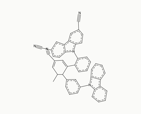 CC1C=C(C#N)C=C(c2ccccc2-n2c3ccc(C#N)cc3c3cc(C#N)ccc32)C1c1cccc(-n2c3ccccc3c3ccccc32)c1